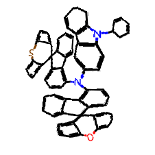 C1=CCC(n2c3c(c4cc(N(c5cccc6c5-c5ccccc5C65c6ccccc6Oc6ccccc65)c5cccc6c5-c5ccccc5C65c6ccccc6Sc6ccccc65)ccc42)C=CCC3)C=C1